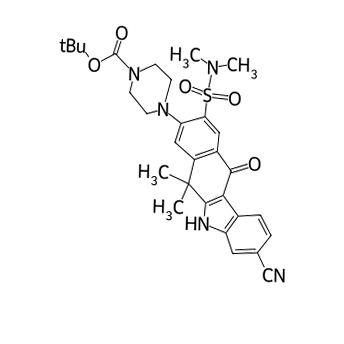 CN(C)S(=O)(=O)c1cc2c(cc1N1CCN(C(=O)OC(C)(C)C)CC1)C(C)(C)c1[nH]c3cc(C#N)ccc3c1C2=O